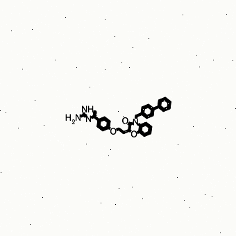 CC(N=C(N)N)c1ccc(OCCC2Oc3ccccc3N(Cc3ccc(-c4ccccc4)cc3)C2=O)cc1